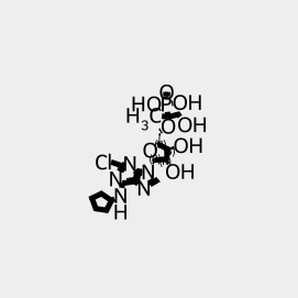 CC(CO)(OC[C@H]1O[C@@H](n2cnc3c(NC4CCCC4)nc(Cl)nc32)[C@H](O)[C@@H]1O)P(=O)(O)O